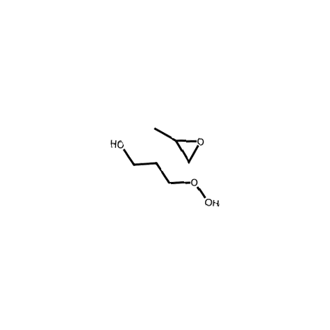 CC1CO1.OCCCOO